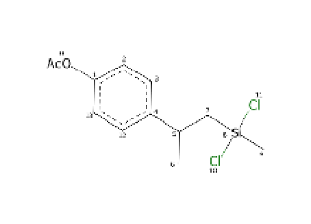 CC(=O)Oc1ccc(C(C)C[Si](C)(Cl)Cl)cc1